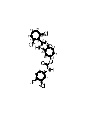 O=C(Nc1ccc(F)c(Cl)c1)Oc1ccc2nc(-c3c(Cl)cccc3Cl)[nH]c2c1